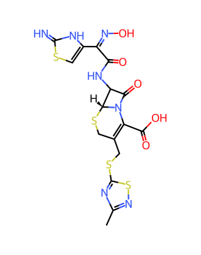 Cc1nsc(SCC2=C(C(=O)O)N3C(=O)C(NC(=O)/C(=N\O)c4csc(=N)[nH]4)[C@H]3SC2)n1